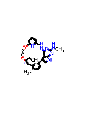 C=C/C1=C\c2cc(ccc2C)-c2c[nH]c3nc(NC)nc(c23)NCc2cccc(n2)OCCO1